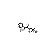 Cn1cc(C(=O)NCC(C)(C)O)c2cccnc21